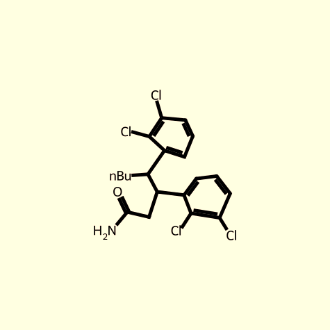 CCCCC(c1cccc(Cl)c1Cl)C(CC(N)=O)c1cccc(Cl)c1Cl